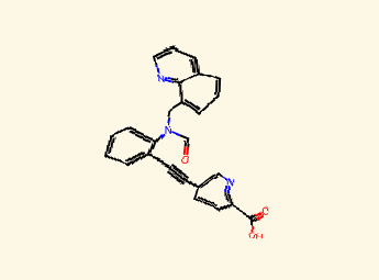 O=CN(Cc1cccc2cccnc12)c1ccccc1C#Cc1ccc(C(=O)O)nc1